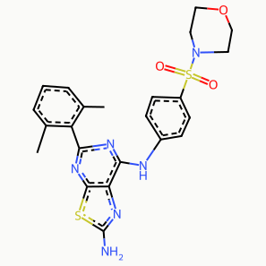 Cc1cccc(C)c1-c1nc(Nc2ccc(S(=O)(=O)N3CCOCC3)cc2)c2nc(N)sc2n1